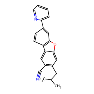 CC(C)Cc1cc2oc3cc(-c4ccccn4)ccc3c2cc1C#N